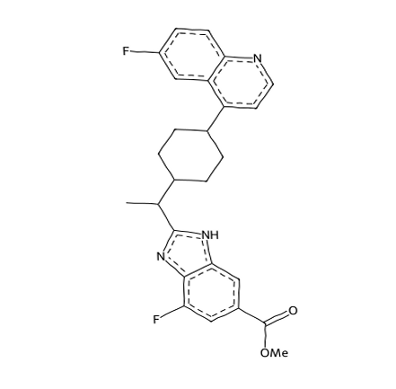 COC(=O)c1cc(F)c2nc(C(C)C3CCC(c4ccnc5ccc(F)cc45)CC3)[nH]c2c1